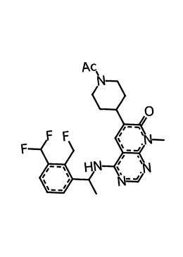 CC(=O)N1CCC(c2cc3c(NC(C)c4cccc(C(F)F)c4CF)ncnc3n(C)c2=O)CC1